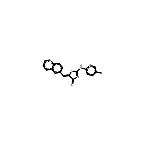 O=C1N=C(Nc2ccc(I)cn2)S/C1=C\c1ccc2ncccc2c1